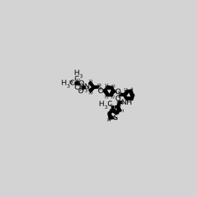 Cn1c(C(=O)Nc2ccccc2COc2ccc(OCC3CN(C(=O)OC(C)(C)C)C3)cc2)cc2sccc21